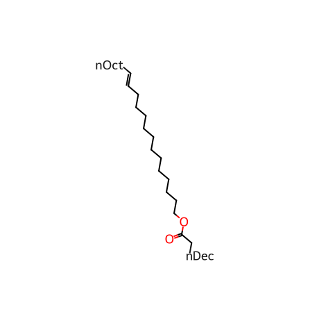 CCCCCCCCC=CCCCCCCCCCCCCOC(=O)CCCCCCCCCCC